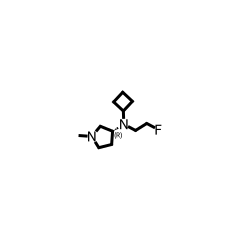 CN1CC[C@@H](N(CCF)C2CCC2)C1